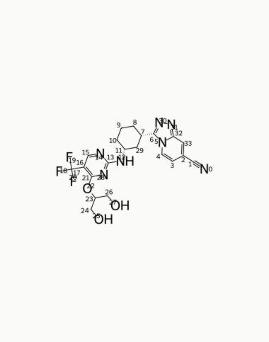 N#Cc1ccn2c([C@H]3CCC[C@@H](Nc4ncc(C(F)(F)F)c(OC(CO)CO)n4)C3)nnc2c1